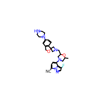 CC1CN(c2ccc(C#N)n3ncc(F)c23)CC(CN2CC3(C2)OCc2cc(N4CCNCC4)ccc23)O1